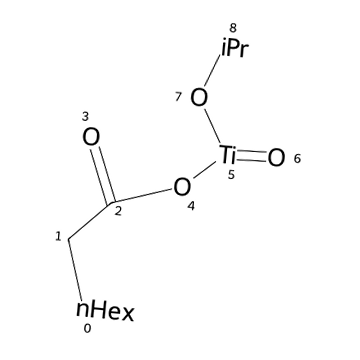 CCCCCCCC(=O)[O][Ti](=[O])[O]C(C)C